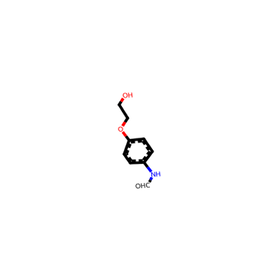 O=CNc1ccc(OCCO)cc1